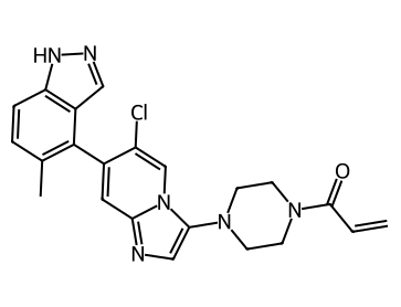 C=CC(=O)N1CCN(c2cnc3cc(-c4c(C)ccc5[nH]ncc45)c(Cl)cn23)CC1